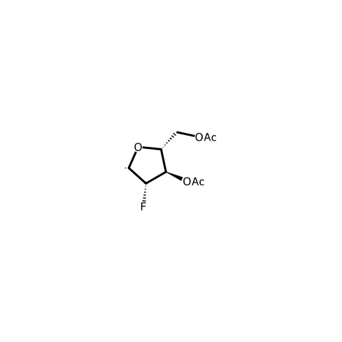 CC(=O)OC[C@H]1O[CH][C@@H](F)[C@@H]1OC(C)=O